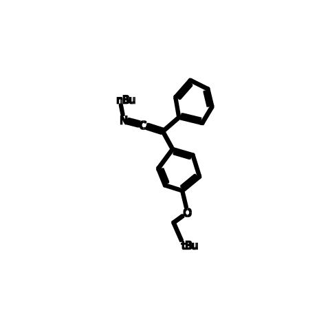 CCCCN=C=C(c1ccccc1)c1ccc(OCC(C)(C)C)cc1